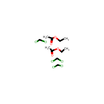 CCOC(C)=O.CCOC(C)=O.ClCCl.ClCCl.ClCCl